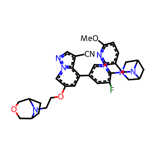 COc1ccc(CN2C3CC2CN(c2ncc(-c4cc(OCCN5C6CCC5COC6)cn5ncc(C#N)c45)cc2F)C3)cn1